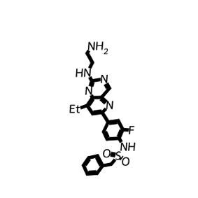 CCc1cc(-c2ccc(NS(=O)(=O)Cc3ccccc3)c(F)c2)nc2cnc(NCCN)nc12